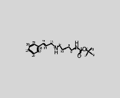 CC(C)(C)OC(=O)NCCCCNCC=Cc1ccccc1